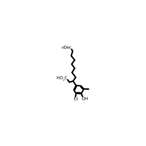 CCCCCCCCCCCCCCCCCC(CC(=O)O)c1cc(C)c(O)c(CC)c1